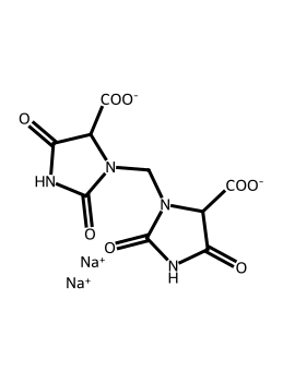 O=C([O-])C1C(=O)NC(=O)N1CN1C(=O)NC(=O)C1C(=O)[O-].[Na+].[Na+]